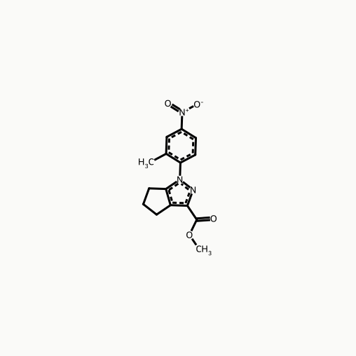 COC(=O)c1nn(-c2ccc([N+](=O)[O-])cc2C)c2c1CCC2